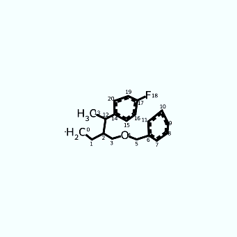 [CH2]CC(COCc1ccccc1)C(C)c1ccc(F)cc1